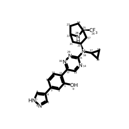 Oc1cc(-c2cn[nH]c2)ccc1-c1cnc(N(C2CC2)[C@H]2CC3CC[C@](C(F)(F)F)(C2)N3)nn1